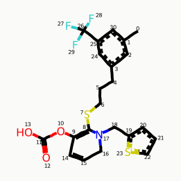 Cc1cc(CCCSC2=C(OC(=O)O)C=CCN2Cc2cccs2)cc(C(F)(F)F)c1